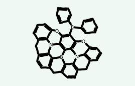 c1ccc(B(c2ccccc2)c2c3oc4cccc5c4n4c3c3c6c2oc2cccc7c2n6-c2c(ccc6c2B3c2c(ccc(c2-4)C5)C6)C7)cc1